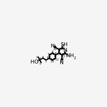 CC(C)(O)CCc1ccc(-c2c(C#N)c(N)nc(S)c2C#N)cc1